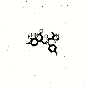 Cc1ncsc1C(=O)N(Cc1cc(=O)[nH]c2c(F)c(F)ccc12)c1ccc(F)cc1